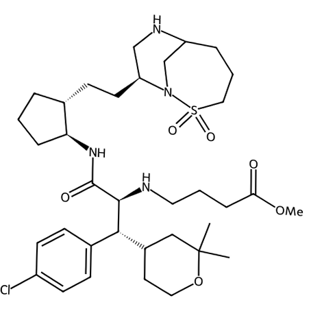 COC(=O)CCCN[C@H](C(=O)N[C@H]1CCC[C@@H]1CC[C@H]1CNC2CCCS(=O)(=O)N1C2)[C@@H](c1ccc(Cl)cc1)C1CCOC(C)(C)C1